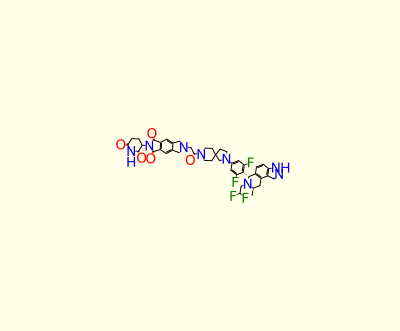 C[C@@H]1Cc2c(ccc3[nH]ncc23)[C@@H](c2c(F)cc(N3CCC4(CCN(C(=O)CN5Cc6cc7c(cc6C5)C(=O)N(C5CCC(=O)NC5=O)C7=O)CC4)C3)cc2F)N1CC(F)F